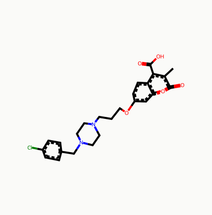 Cc1c(C(=O)O)c2ccc(OCCCN3CCN(Cc4ccc(Cl)cc4)CC3)cc2oc1=O